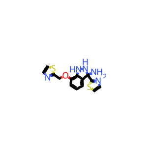 NC1(c2nccs2)NNc2c(OCc3nccs3)cccc21